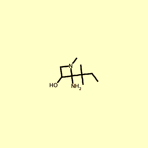 CCC(C)(C)C1(N)C(O)CN1C